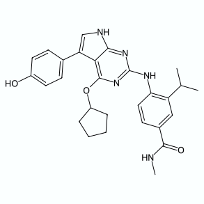 CNC(=O)c1ccc(Nc2nc(OC3CCCC3)c3c(-c4ccc(O)cc4)c[nH]c3n2)c(C(C)C)c1